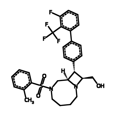 Cc1ccccc1S(=O)(=O)N1CCCCN2[C@H](CO)[C@@H](c3ccc(-c4cccc(F)c4C(F)(F)F)cc3)[C@@H]2C1